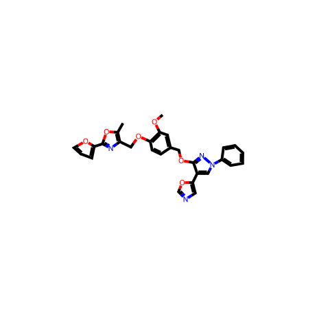 COc1cc(COc2nn(-c3ccccc3)cc2-c2cnco2)ccc1OCc1nc(-c2ccco2)oc1C